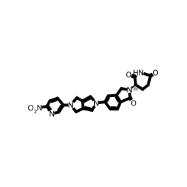 O=C1CC[C@@H](N2Cc3cc(-n4cc5c(c4)CN(c4ccc([N+](=O)[O-])nc4)C5)ccc3C2=O)C(=O)N1